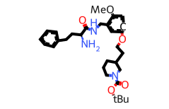 COc1ccc(OCCC2CCCN(C(=O)OC(C)(C)C)C2)cc1CNC(=O)[C@@H](N)CCc1ccccc1